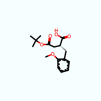 COc1ccccc1C[C@H](CC(=O)OC(C)(C)C)C(=O)O